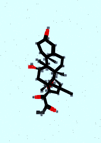 COC(=O)C(=O)[C@@]12CC[C@@]3(OC(C)O1)[C@@H]1CCC4=CC(=O)CC[C@]4(C)[C@H]1[C@@H](O)C[C@]23C